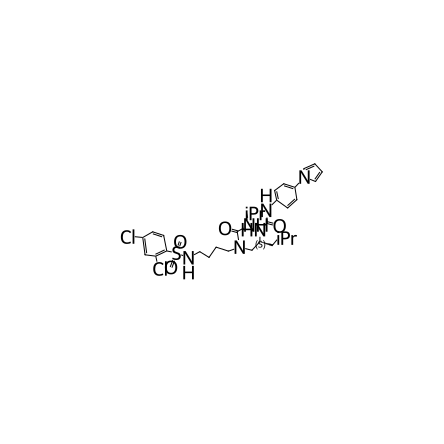 CC(C)C[C@@H](CN(CCCCNS(=O)(=O)c1ccc(Cl)cc1Cl)C(=O)NC(C)C)NC(=O)Nc1ccc(-n2cccc2)cc1